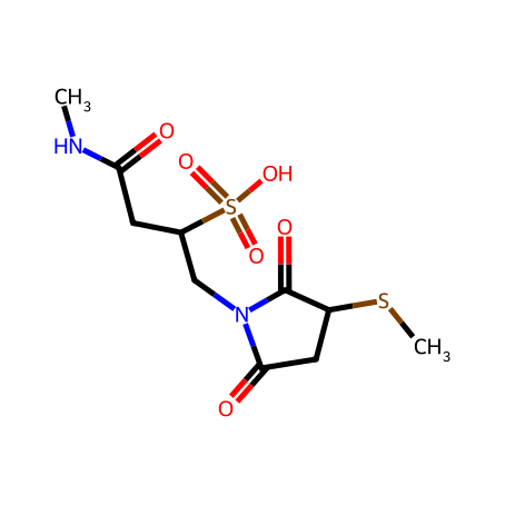 CNC(=O)CC(CN1C(=O)CC(SC)C1=O)S(=O)(=O)O